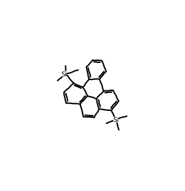 C[Si](C)(C)c1ccc2c3ccccc3c3c([Si](C)(C)C)ccc4ccc1c2c43